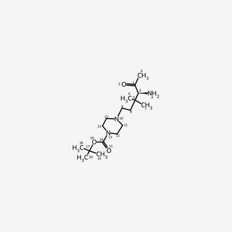 CC(=O)[C@@H](N)C(C)(C)CCN1CCN(C(=O)OC(C)(C)C)CC1